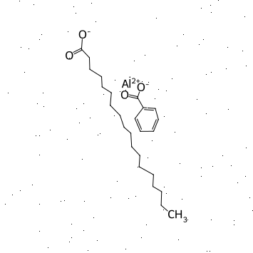 CCCCCCCCCCCCCCCCCC(=O)[O-].O=C([O-])c1ccccc1.[Al+2]